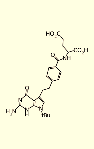 CC(C)(C)n1cc(CCc2ccc(C(=O)NC(CCC(=O)O)C(=O)O)cc2)c2c(=O)nc(N)[nH]c21